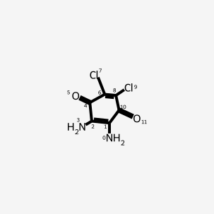 NC1=C(N)C(=O)C(Cl)=C(Cl)C1=O